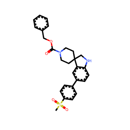 CS(=O)(=O)c1ccc(-c2ccc3c(c2)C2(CCN(C(=O)OCc4ccccc4)CC2)CN3)cc1